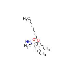 C=CCCCCCCCCC(=O)OC(CCCC)(CCCC)C(C)CCCC.N